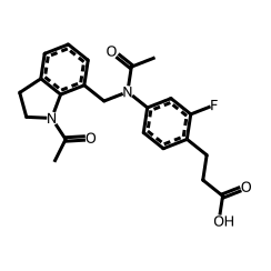 CC(=O)N(Cc1cccc2c1N(C(C)=O)CC2)c1ccc(CCC(=O)O)c(F)c1